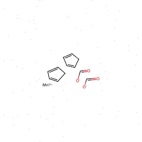 C1=CCC=C1.C1=CCC=C1.O=C[O-].O=C[O-].[Mn+2]